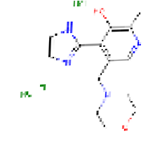 Cc1ncc(CN2CCOCC2)c(-c2ncc[nH]2)c1O.Cl.Cl.Cl